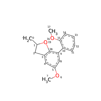 [CH2]C1Cc2cc(OC)cc(-c3ccccc3OC)c2O1